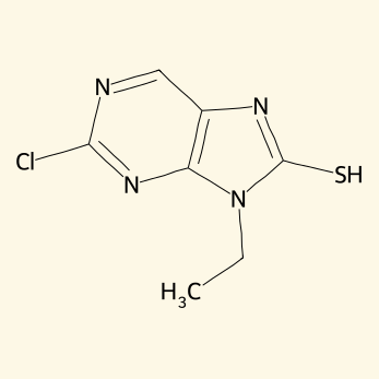 CCn1c(S)nc2cnc(Cl)nc21